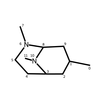 CC1CC2CCN(C)C(C1)N2C